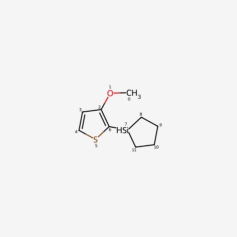 COc1ccsc1[SiH]1CCCC1